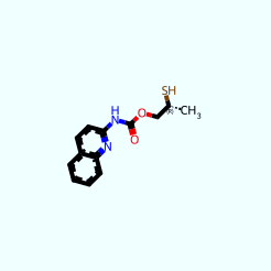 C[C@@H](S)COC(=O)Nc1ccc2ccccc2n1